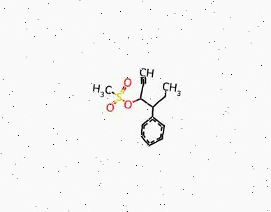 C#CC(OS(C)(=O)=O)C(CC)c1ccccc1